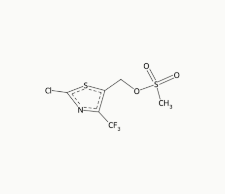 CS(=O)(=O)OCc1sc(Cl)nc1C(F)(F)F